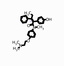 CC/C(=C(/C(=O)N(C)c1ccc(OCCN(C)C)cc1)c1ccc(O)cc1)c1ccccc1